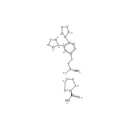 NC(CCc1ccc(C2OCCO2)c(C2OCCO2)c1)C[C@H]1CC[C@H](C(=O)O)CC1